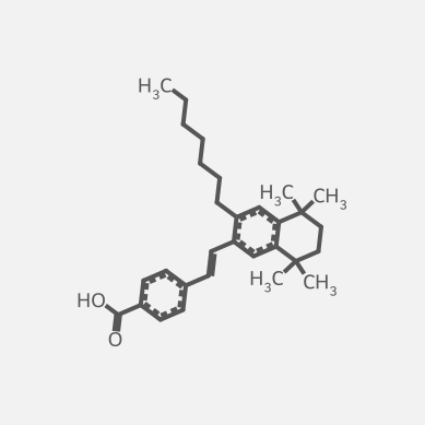 CCCCCCCc1cc2c(cc1C=Cc1ccc(C(=O)O)cc1)C(C)(C)CCC2(C)C